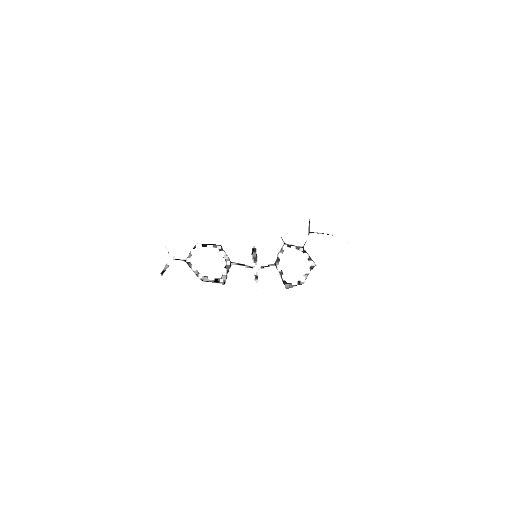 CC(C)c1cccc(S(=O)(=O)c2ccc([N+](=O)[O-])cc2)c1Cl